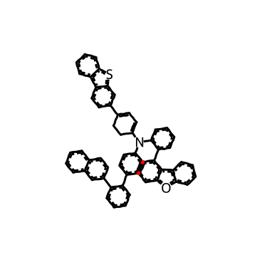 c1cc2oc3ccccc3c2c(-c2ccccc2N(C2=CC=C(c3ccc4c(c3)sc3ccccc34)CC2)c2ccc(-c3ccccc3-c3ccc4ccccc4c3)cc2)c#1